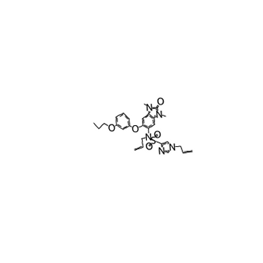 C=CCN(c1cc2c(cc1Oc1cccc(OCCC)c1)n(C)c(=O)n2C)S(=O)(=O)c1cn(CC=C)cn1